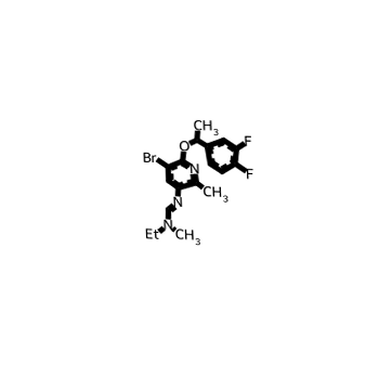 CCN(C)/C=N/c1cc(Br)c(OC(C)c2ccc(F)c(F)c2)nc1C